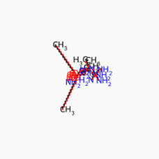 CCCCCCCCCC=CC=CC=CC=CC=CC=CC(=O)OC(C1CC[C@@]2(C)C(=CCC3C2CC[C@@]2(C)C3CC[C@@H]2[C@H](C)CCCC(C)C)C1)[C@H](COP(=O)(O)OCCN)OC(=O)C=CC=CC=CC=CC=CC=CCCCCCCCCC.NCCCC(N)(CCCN)C(CN)(CCCN)CCCN